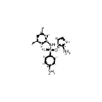 Cc1cc(C)nc(NS(=O)(=O)c2ccc(N)cc2)n1.Nc1nccs1